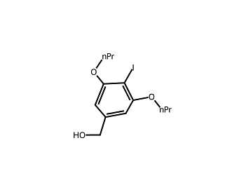 CCCOc1cc(CO)cc(OCCC)c1I